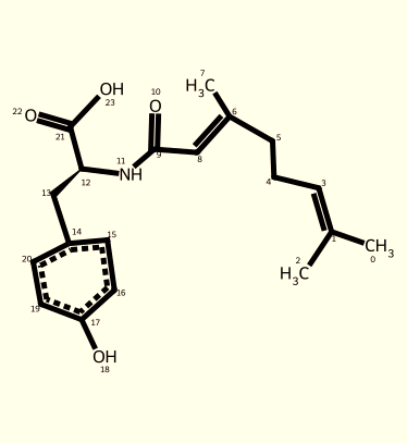 CC(C)=CCC/C(C)=C/C(=O)N[C@@H](Cc1ccc(O)cc1)C(=O)O